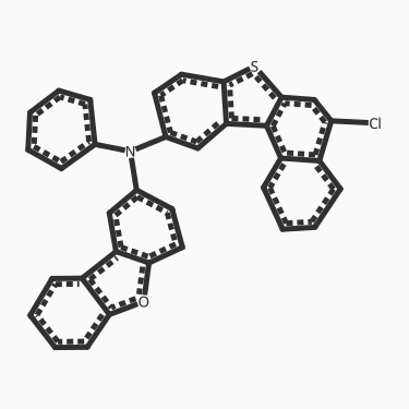 Clc1cc2sc3ccc(N(c4ccccc4)c4ccc5oc6ccccc6c5c4)cc3c2c2ccccc12